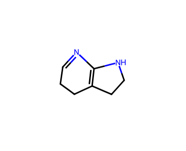 C1=NC2=C(CC1)CCN2